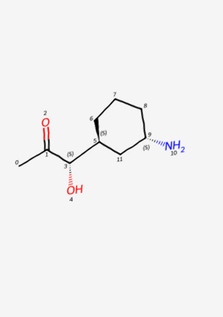 CC(=O)[C@@H](O)[C@H]1CCC[C@H](N)C1